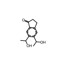 CC(O)c1cc2c(cc1C(C)O)C(=O)CC2